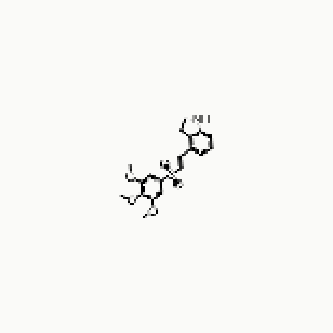 COc1cc(S(=O)(=O)C=Cc2cccc3c2CCN3)cc(OC)c1OC